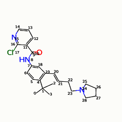 CC(C)(C)c1ccc(NC(=O)c2cccnc2Cl)cc1C=CCCN1CCCC1